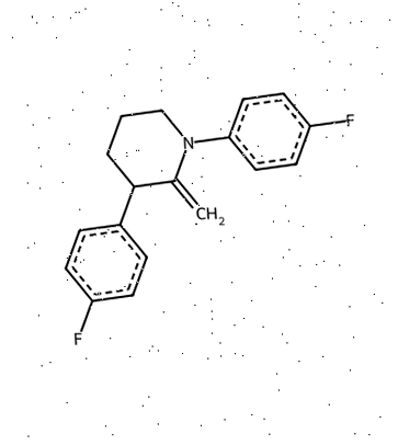 C=C1C(c2ccc(F)cc2)CCCN1c1ccc(F)cc1